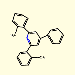 Cc1ccccc1-c1cc(-c2ccccc2)cc(-c2ccccc2C)n1